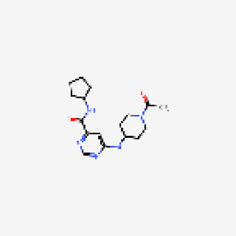 CC(=O)N1CCC(Nc2cc(C(=O)NC3CCCC3)ncn2)CC1